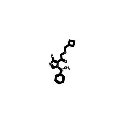 C[C@H](c1ccccc1)n1cnc(F)c1C(=O)COCC1CCC1